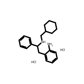 Cl.Cl.Nc1ccccc1CC(NCC1CCCCC1)c1ccccc1